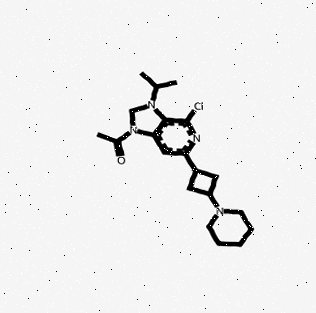 CC(=O)N1CN(C(C)C)c2c1cc([C]1CC(N3CCCCC3)C1)nc2Cl